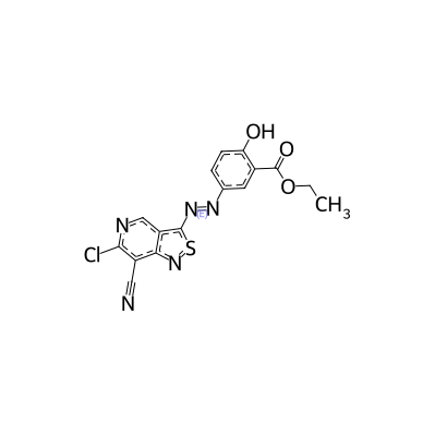 CCOC(=O)c1cc(/N=N/c2snc3c(C#N)c(Cl)ncc23)ccc1O